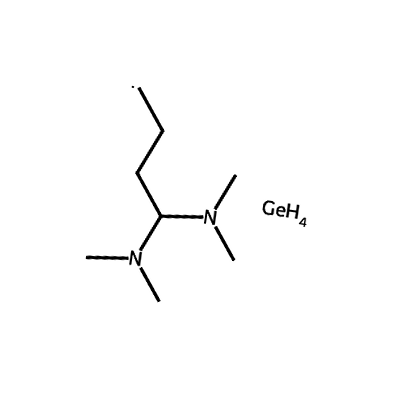 [CH2]CCC(N(C)C)N(C)C.[GeH4]